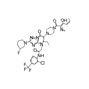 C=N/C(C(=O)N1CCN(c2c(CC)n(CC(=O)Nc3ccc(C(F)(F)F)cc3Cl)c3nc(N4CCCC(F)C4)nn3c2=O)CC1)=C(O)\C=C/C